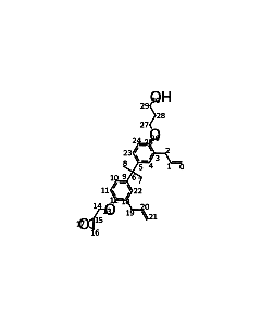 C=CCc1cc(C(C)(C)c2ccc(OCC3CO3)c(CC=C)c2)ccc1OCCCO